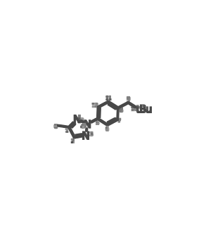 Cc1cnn(-c2ccc(CC(C)(C)C)cc2)n1